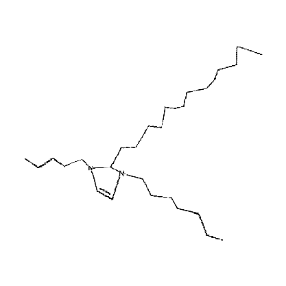 CCCCCCCCCCCCC1N(CCCCC)C=CN1CCCCCCC